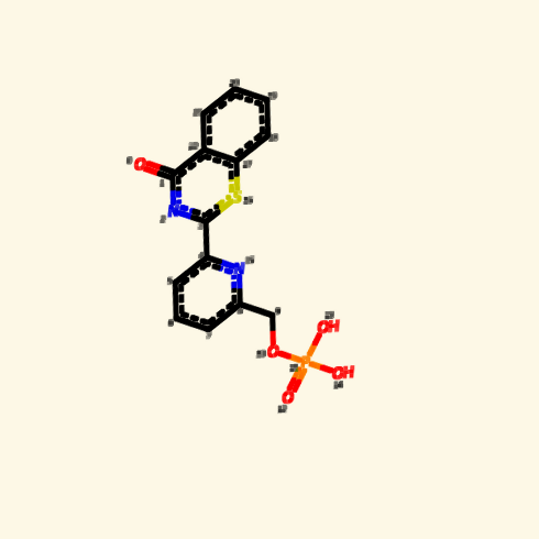 O=c1nc(-c2cccc(COP(=O)(O)O)n2)sc2ccccc12